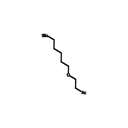 CC(=O)CCOCCCCCC(C)(C)C